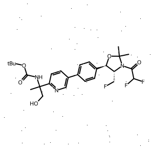 CC(C)(C)OC(=O)NC(C)(CO)c1ccc(-c2ccc([C@H]3OC(C)(C)N(C(=O)C(F)F)[C@@H]3CF)cc2)cn1